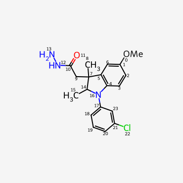 COc1ccc2c(c1)C(C)(CC(=O)NN)C(C)N2c1cccc(Cl)c1